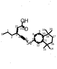 CCCC(C#C[Se]c1ccc2c(c1)C(C)(C)CCC2(C)C)=CC(=O)O